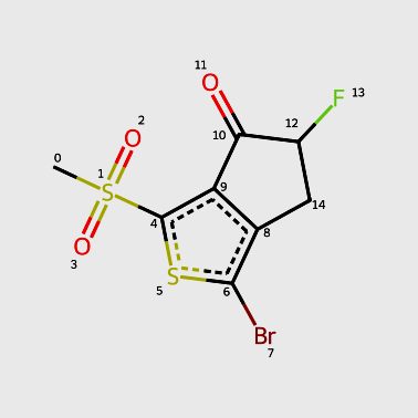 CS(=O)(=O)c1sc(Br)c2c1C(=O)C(F)C2